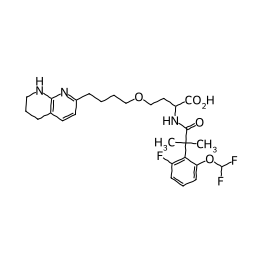 CC(C)(C(=O)NC(CCOCCCCc1ccc2c(n1)NCCC2)C(=O)O)c1c(F)cccc1OC(F)F